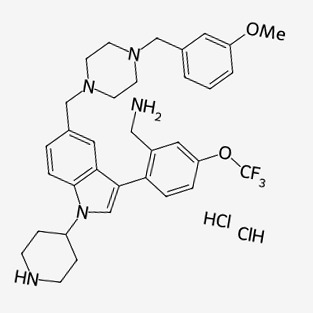 COc1cccc(CN2CCN(Cc3ccc4c(c3)c(-c3ccc(OC(F)(F)F)cc3CN)cn4C3CCNCC3)CC2)c1.Cl.Cl